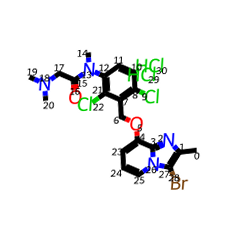 Cc1nc2c(OCc3c(Cl)ccc(N(C)C(=O)CN(C)C)c3Cl)cccn2c1Br.Cl.Cl